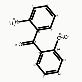 Nc1ccccc1C(=O)c1ccccc1[C]=O